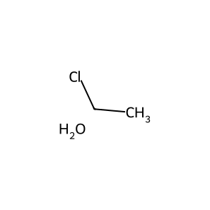 CCCl.O